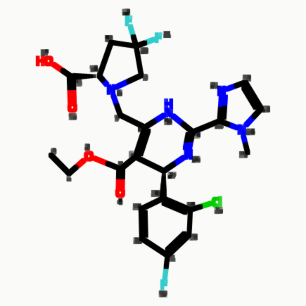 CCOC(=O)C1=C(CN2CC(F)(F)C[C@H]2C(=O)O)NC(c2nccn2C)=N[C@H]1c1ccc(F)cc1Cl